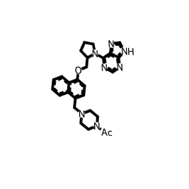 CC(=O)N1CCN(Cc2ccc(OCC3CCCN3c3ncnc4[nH]cnc34)c3ccccc23)CC1